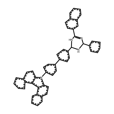 c1ccc(C2N=C(c3ccc4ccccc4c3)NC(c3ccc(-c4ccc(-n5c6ccc7ccccc7c6c6c7ccccc7ccc65)cc4)cc3)N2)cc1